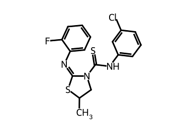 CC1CN(C(=S)Nc2cccc(Cl)c2)/C(=N\c2ccccc2F)S1